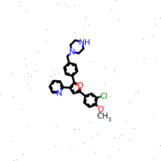 COc1ccc(-c2cc(-c3ccccn3)c(-c3ccc(CN4CCNCC4)cc3)o2)cc1Cl